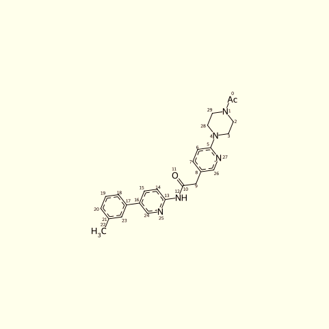 CC(=O)N1CCN(c2ccc(CC(=O)Nc3ccc(-c4cccc(C)c4)cn3)cn2)CC1